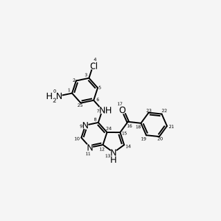 Nc1cc(Cl)cc(Nc2ncnc3[nH]cc(C(=O)c4ccccc4)c23)c1